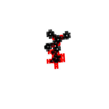 O=C(Oc1ccc(C2Oc3cc(OCc4ccccc4)cc(OCc4ccccc4)c3CC2OCc2ccccc2)cc1O)[C@H]1O[C@@H](O)[C@H](O)[C@@H](O)[C@@H]1O